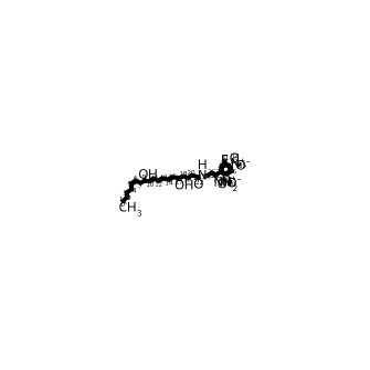 CCCCC/C=C\C[C@@H](O)/C=C/C=CC=C[C@@H](O)CCCC(=O)NCCC(N)c1cc(F)c([N+](=O)[O-])cc1[N+](=O)[O-]